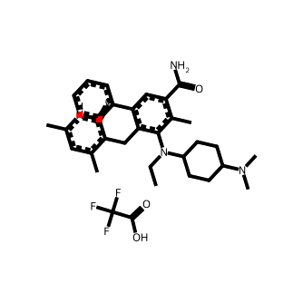 CCN(c1c(C)c(C(N)=O)cc(-c2cccnc2)c1Cc1c(C)cc(C)[nH]c1=O)C1CCC(N(C)C)CC1.O=C(O)C(F)(F)F